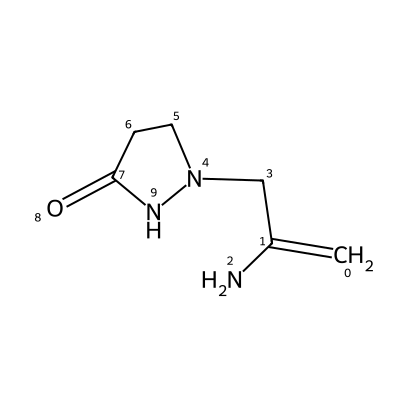 C=C(N)CN1CCC(=O)N1